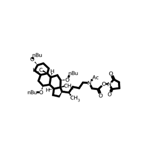 CCCCO[C@@H]1CC[C@@]2(C)C(C1)C[C@@H](OCCCC)C1[C@@H]3CC[C@H]([C@H](C)CCCN(CC(=O)ON4C(=O)CCC4=O)C(C)=O)[C@@]3(C)[C@@H](OCCCC)C[C@@H]12